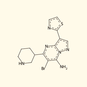 Nc1c(Br)c(C2CCCNC2)nc2c(-c3nccs3)cnn12